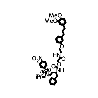 COc1ccc(CCCc2cccc(OCCNC(=O)COC(=O)N[C@H](CCN(CC(C)C)S(=O)(=O)c3ccc([N+](=O)[O-])cc3)Cc3ccccc3)c2)cc1OC